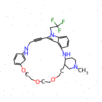 CN1CCC2Nc3cccc4c3cc(n4CC(F)(F)F)C#CCNc3cccc(c3)OCCOCCOCCC2C1